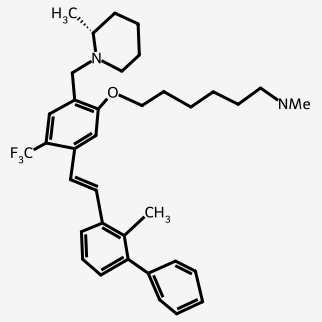 CNCCCCCCOc1cc(/C=C/c2cccc(-c3ccccc3)c2C)c(C(F)(F)F)cc1CN1CCCC[C@H]1C